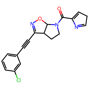 O=C(C1=CCC=N1)N1CCC2C(C#Cc3cccc(Cl)c3)=NOC21